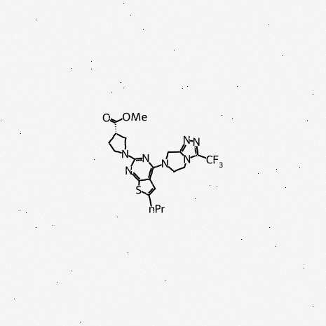 CCCc1cc2c(N3CCn4c(nnc4C(F)(F)F)C3)nc(N3CC[C@H](C(=O)OC)C3)nc2s1